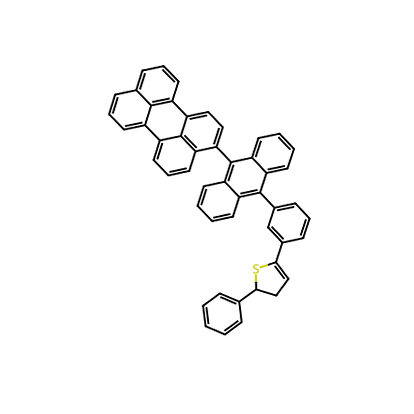 C1=C(c2cccc(-c3c4ccccc4c(-c4ccc5c6cccc7cccc(c8cccc4c85)c76)c4ccccc34)c2)SC(c2ccccc2)C1